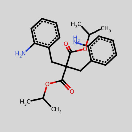 CC(C)OC(=O)C(Cc1ccccc1N)(Cc1ccccc1N)C(=O)OC(C)C